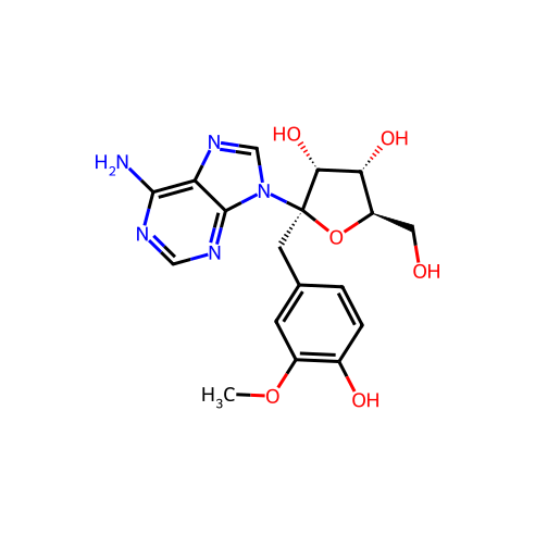 COc1cc(C[C@@]2(n3cnc4c(N)ncnc43)O[C@H](CO)[C@@H](O)[C@H]2O)ccc1O